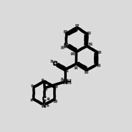 O=C(NC1CN2CCC1CC2)c1cccc2cccnc12